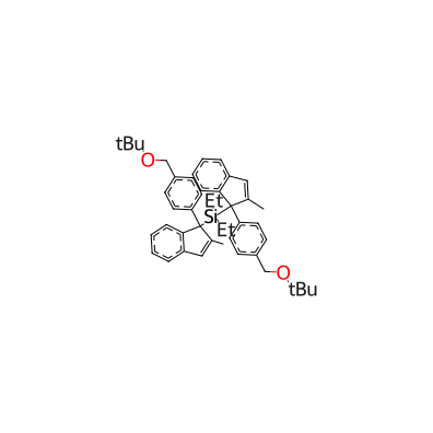 CC[Si](CC)(C1(c2ccc(COC(C)(C)C)cc2)C(C)=Cc2ccccc21)C1(c2ccc(COC(C)(C)C)cc2)C(C)=Cc2ccccc21